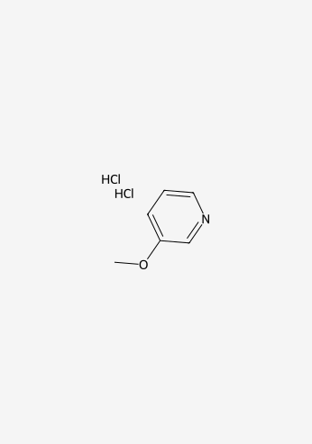 COc1cccnc1.Cl.Cl